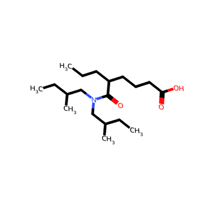 CCCC(CCCC(=O)O)C(=O)N(CC(C)CC)CC(C)CC